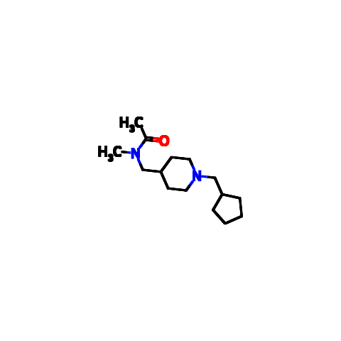 CC(=O)N(C)CC1CCN(CC2CCCC2)CC1